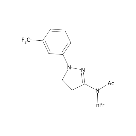 CCCN(C(C)=O)C1=NN(c2cccc(C(F)(F)F)c2)CC1